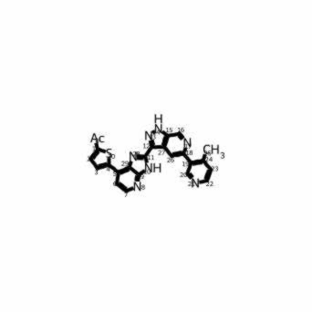 CC(=O)c1ccc(-c2ccnc3[nH]c(-c4n[nH]c5cnc(-c6cnccc6C)cc45)nc23)s1